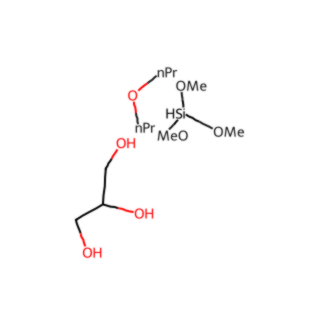 CCCOCCC.CO[SiH](OC)OC.OCC(O)CO